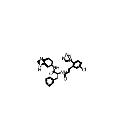 O=C(/C=C/c1cc(Cl)ccc1-n1cnnn1)N[C@@H](Cc1ccccc1)C(=O)NC1C=c2[nH]cnc2=CC1